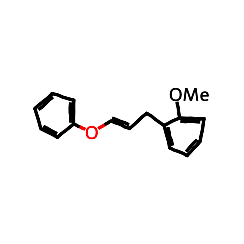 COc1ccccc1CC=COc1ccccc1